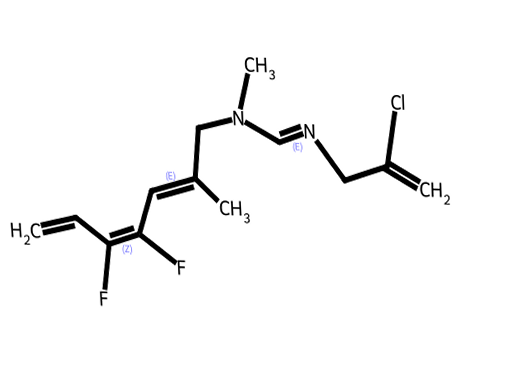 C=C/C(F)=C(F)\C=C(/C)CN(C)/C=N/CC(=C)Cl